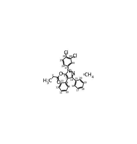 C.CCC(=O)Oc1c(-c2ccccc2)c(-c2ccccc2)nn1-c1ccc(Cl)c(Cl)c1